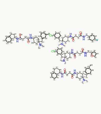 CN(C)C1(Cc2cccc(Cl)c2)CCC(NC(=O)CCC(=O)NCc2ccc(F)cc2)CC1.CN(C)C1(Cc2cccc(Cl)c2)CCC(NC(=O)CCC(=O)NCc2ccco2)CC1.Cc1ccc(CC2(N(C)C)CCC(NC(=O)CCC(=O)NC3CCCc4ccccc43)CC2)cc1.Cc1cccc(CC2(N(C)C)CCC(NC(=O)CCC(=O)NC3CCc4ccccc43)CC2)c1